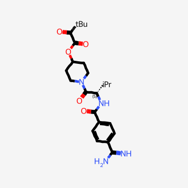 CC(C)[C@H](NC(=O)c1ccc(C(=N)N)cc1)C(=O)N1CCC(OC(=O)C(=O)C(C)(C)C)CC1